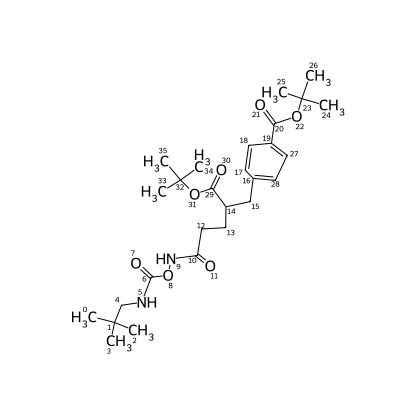 CC(C)(C)CNC(=O)ONC(=O)CCC(Cc1ccc(C(=O)OC(C)(C)C)cc1)C(=O)OC(C)(C)C